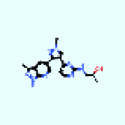 Cc1n[nH]c2ncc(-c3nn(C(C)C)cc3-c3ccnc(NC[C@H](C)O)n3)cc12